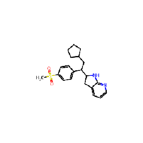 CS(=O)(=O)c1ccc(C(CC2CCCC2)C2Cc3cccnc3N2)cc1